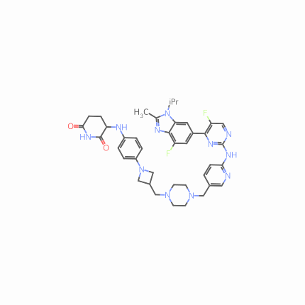 Cc1nc2c(F)cc(-c3nc(Nc4ccc(CN5CCN(CC6CN(c7ccc(NC8CCC(=O)NC8=O)cc7)C6)CC5)cn4)ncc3F)cc2n1C(C)C